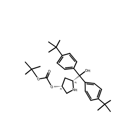 CC(C)(C)OC(=O)O[C@H]1CN[C@@H](C(O)(c2ccc(C(C)(C)C)cc2)c2ccc(C(C)(C)C)cc2)C1